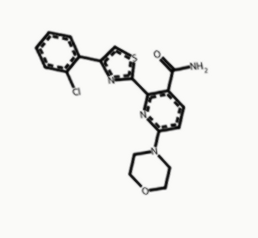 NC(=O)c1ccc(N2CCOCC2)nc1-c1nc(-c2ccccc2Cl)cs1